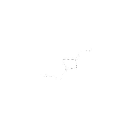 O=C(O)C1CC(O[N+](=O)[O-])C1